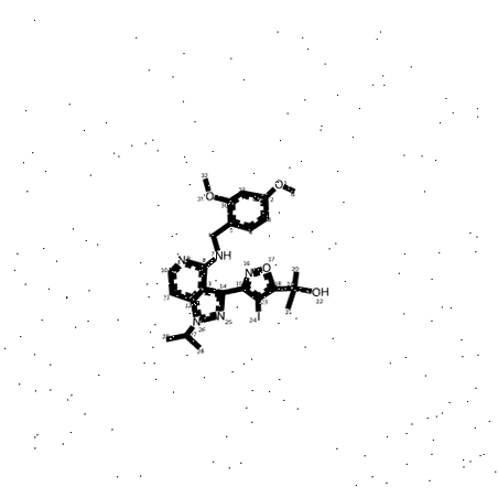 COc1ccc(CNc2nccc3c2c(-c2noc(C(C)(C)O)c2I)nn3C(C)C)c(OC)c1